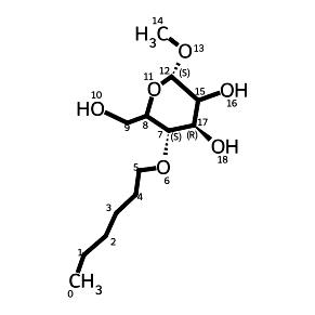 CCCCCCO[C@@H]1C(CO)O[C@H](OC)C(O)[C@H]1O